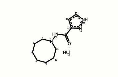 Cl.O=C(NN1CCCCCCC1)c1cc[nH]n1